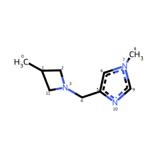 CC1CN(Cc2cn(C)cn2)C1